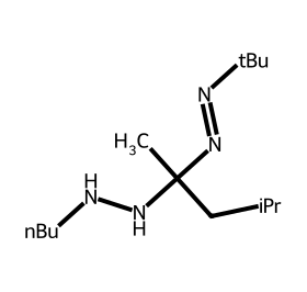 CCCCNNC(C)(CC(C)C)N=NC(C)(C)C